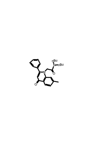 CCCCN(CCCC)C(=O)Cn1c(-c2ccccc2)cc(=O)c2ccc(C)cc21